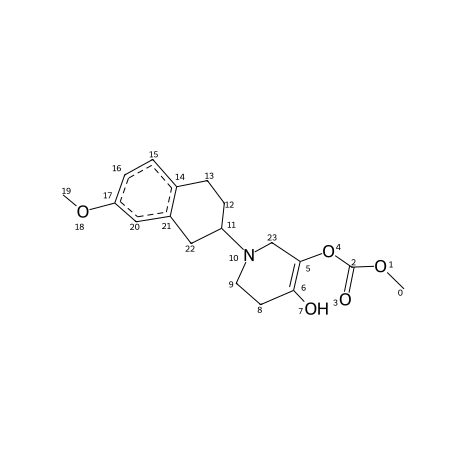 COC(=O)OC1=C(O)CCN(C2CCc3ccc(OC)cc3C2)C1